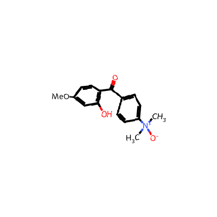 COc1ccc(C(=O)c2ccc([N+](C)(C)[O-])cc2)c(O)c1